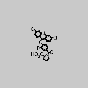 O=C(O)[C@@H]1CCCN1C(=O)c1ccc(OC(c2ccc(Cl)cc2)c2ccc(Cl)cc2Cl)c(F)c1